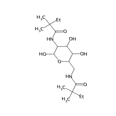 CCC(C)(C)C(=O)NCC1OC(O)C(NC(=O)C(C)(C)CC)C(O)C1O